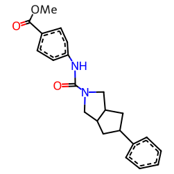 COC(=O)c1ccc(NC(=O)N2CC3CC(c4ccccc4)CC3C2)cc1